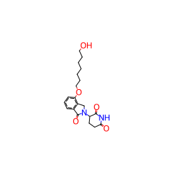 O=C1CCC(N2Cc3c(OCCCCCCCO)cccc3C2=O)C(=O)N1